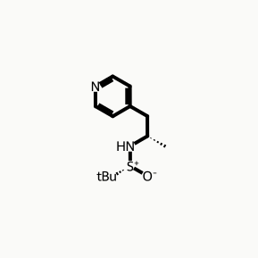 C[C@@H](Cc1ccncc1)N[S@+]([O-])C(C)(C)C